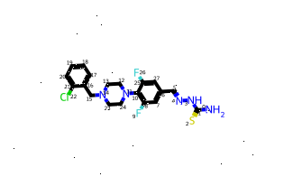 NC(=S)N/N=C/c1cc(F)c(N2CCN(Cc3ccccc3Cl)CC2)c(F)c1